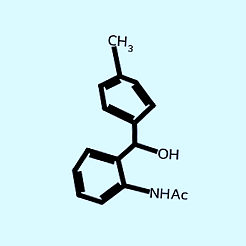 CC(=O)Nc1ccccc1C(O)c1ccc(C)cc1